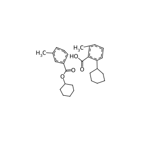 Cc1cccc(C(=O)OC2CCCCC2)c1.Cc1cccc(C2CCCCC2)c1C(=O)O